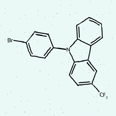 FC(F)(F)c1ccc2c(c1)c1ccccc1n2-c1ccc(Br)cc1